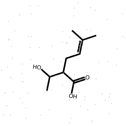 CC(C)=CCC(C(=O)O)C(C)O